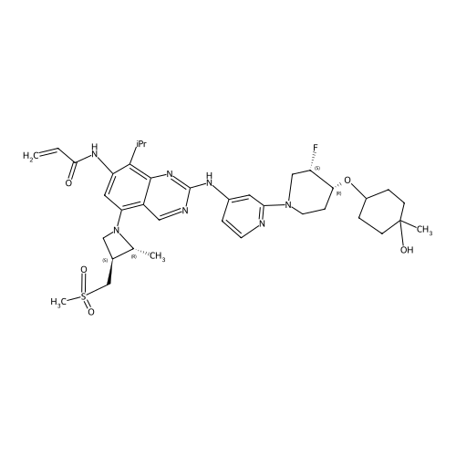 C=CC(=O)Nc1cc(N2C[C@H](CS(C)(=O)=O)[C@H]2C)c2cnc(Nc3ccnc(N4CC[C@@H](OC5CCC(C)(O)CC5)[C@@H](F)C4)c3)nc2c1C(C)C